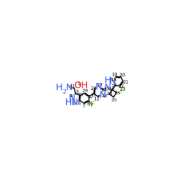 NC(O)c1n[nH]c2cc(F)c(-c3cnc(NC4(c5ncccc5F)CCC4)nc3)cc12